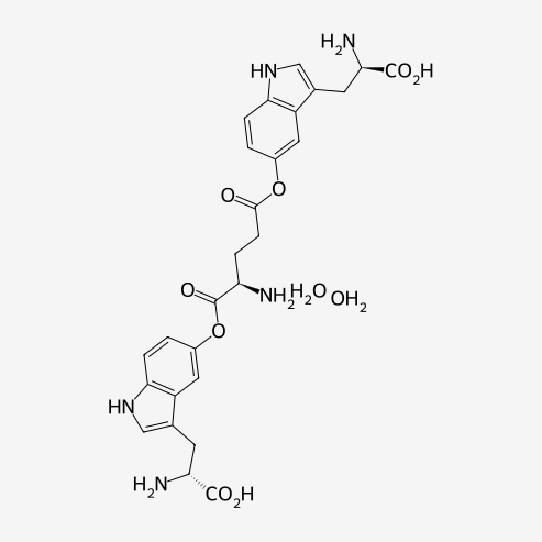 N[C@H](Cc1c[nH]c2ccc(OC(=O)CC[C@@H](N)C(=O)Oc3ccc4[nH]cc(C[C@@H](N)C(=O)O)c4c3)cc12)C(=O)O.O.O